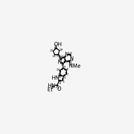 CCNC(=O)c1cc2ccc(-c3nn([C@H]4CC[C@@H](O)C4)c4ncnc(NC)c34)cc2[nH]1